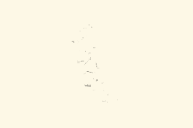 CC(=O)NCC1CN(c2ccc(N3C[CH][C](CC#N)C(F)C3)c(F)c2)C(=O)O1